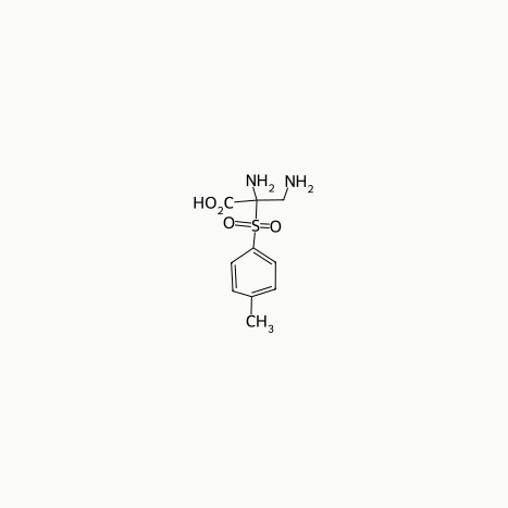 Cc1ccc(S(=O)(=O)C(N)(CN)C(=O)O)cc1